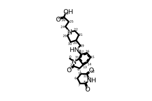 CN1C(=O)[C@@H](C2CCC(=O)NC2=O)c2cccc(NCC3CCN(CCC(=O)O)CC3)c21